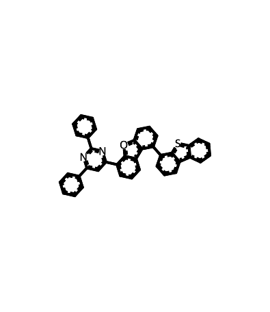 c1ccc(-c2cc(-c3cccc4c3oc3cccc(-c5cccc6c5sc5ccccc56)c34)nc(-c3ccccc3)n2)cc1